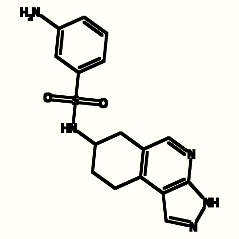 Nc1cccc(S(=O)(=O)NC2CCc3c(cnc4[nH]ncc34)C2)c1